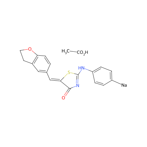 CC(=O)O.O=C1N=C(Nc2cc[c]([Na])cc2)S/C1=C\c1ccc2c(c1)CCO2